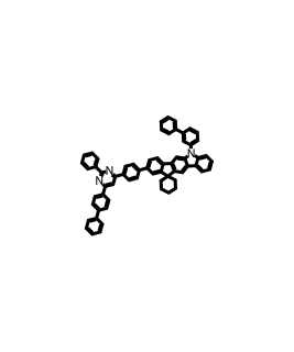 c1ccc(-c2ccc(-c3cc(-c4ccc(-c5ccc6c(c5)C5(CCCCC5)c5cc7c8ccccc8n(-c8cccc(-c9ccccc9)c8)c7cc5-6)cc4)nc(-c4ccccc4)n3)cc2)cc1